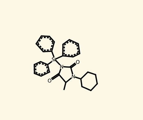 CC1C(=O)N([Si](c2ccccc2)(c2ccccc2)c2ccccc2)C(=O)N1C1CCCCC1